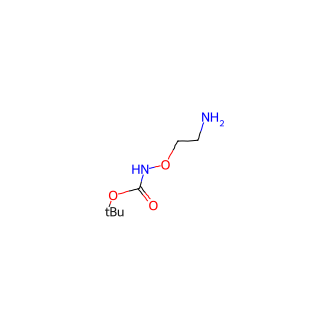 CC(C)(C)OC(=O)NOCCN